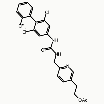 CC(=O)OCCc1ccc(CNC(=O)Nc2cc(Cl)c(-c3ccccc3C(F)(F)F)c(Cl)c2)nc1